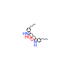 CCCCc1ccc2[nH]cc(CC(Cc3c[nH]c4ccc(CCCC)cc34)C(=O)O)c2c1